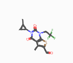 Cc1c(C=O)sc2c1c(=O)n(C1CC1C)c(=O)n2CC(F)(F)F